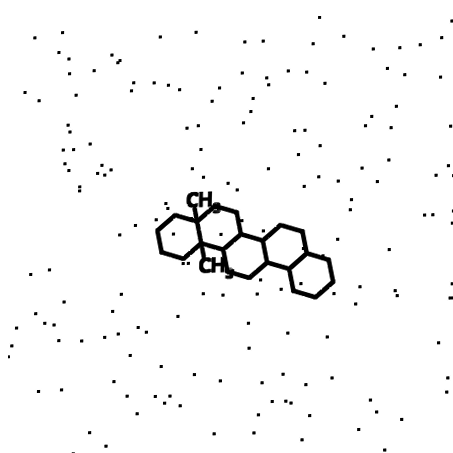 CC12CCCCC1(C)C1CCC3C4CCCCC4CCC3C1CC2